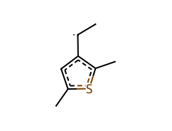 C[CH]c1cc(C)sc1C